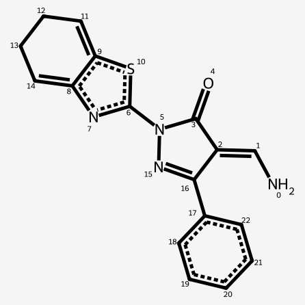 N/C=C1/C(=O)N(c2nc3c(s2)=CCCC=3)N=C1c1ccccc1